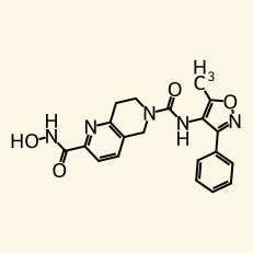 Cc1onc(-c2ccccc2)c1NC(=O)N1CCc2nc(C(=O)NO)ccc2C1